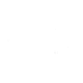 CC(CCl)CCCCCCl